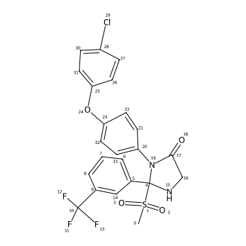 CS(=O)(=O)C1(c2cccc(C(F)(F)F)c2)NCC(=O)N1c1ccc(Oc2ccc(Cl)cc2)cc1